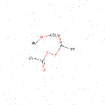 CC(C)(C)OC(=O)O.CC(C)C(=O)OOC(=O)C(C)C